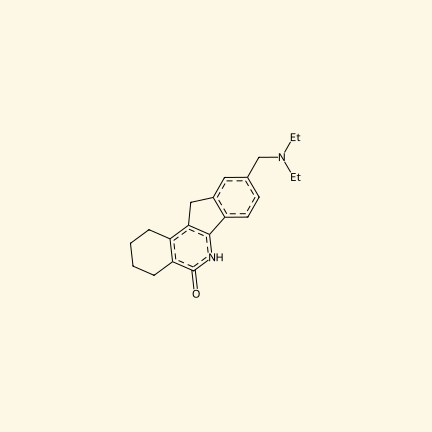 CCN(CC)Cc1ccc2c(c1)Cc1c-2[nH]c(=O)c2c1CCCC2